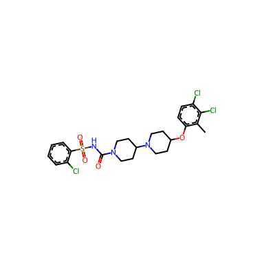 Cc1c(OC2CCN(C3CCN(C(=O)NS(=O)(=O)c4ccccc4Cl)CC3)CC2)ccc(Cl)c1Cl